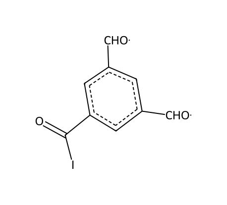 O=[C]c1cc([C]=O)cc(C(=O)I)c1